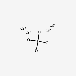 [Cs+].[Cs+].[Cs+].[Cs+].[O-][Ti]([O-])([O-])[O-]